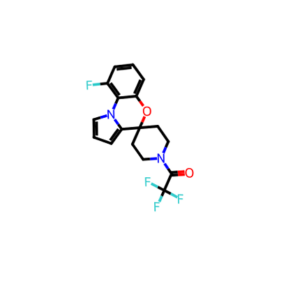 O=C(N1CCC2(CC1)Oc1cccc(F)c1-n1cccc12)C(F)(F)F